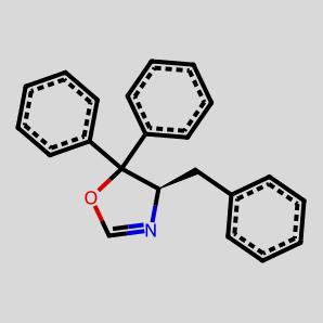 C1=N[C@H](Cc2ccccc2)C(c2ccccc2)(c2ccccc2)O1